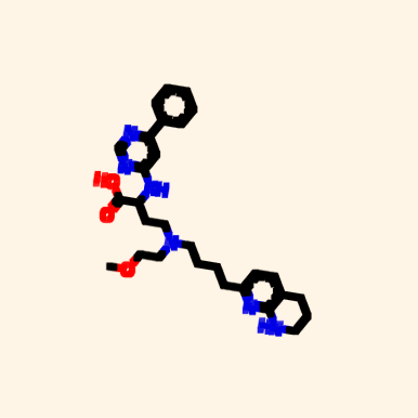 COCCN(CCCCc1ccc2c(n1)NCCC2)CCC(Nc1cc(-c2ccccc2)ncn1)C(=O)O